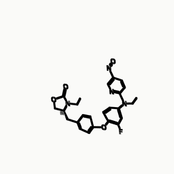 CCN(c1ccc(Oc2ccc(C[C@H]3COC(=O)N3CC)cc2)c(F)c1)c1ccc(N=O)cn1